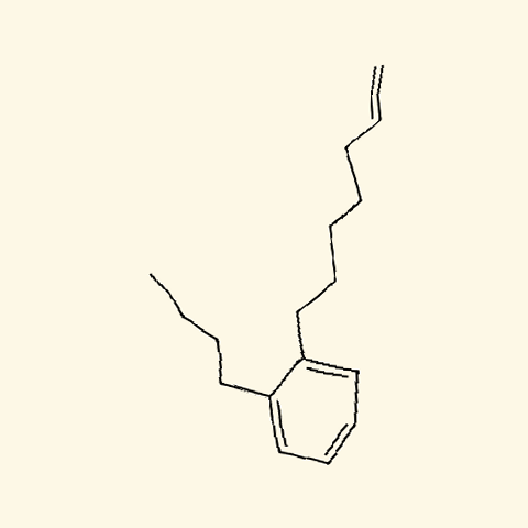 C=CCCCCCc1ccccc1CCCC